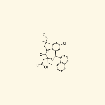 CCC1(CC(=O)O)OC(c2cccc3ccccc23)c2cc(Cl)ccc2N(CC(C)(C)C=O)C1=O